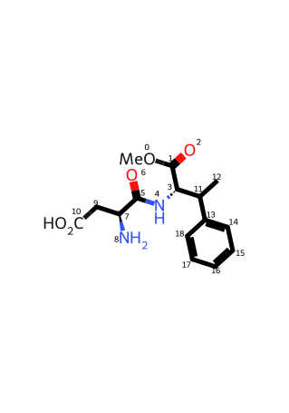 COC(=O)[C@@H](NC(=O)[C@@H](N)CC(=O)O)C(C)c1ccccc1